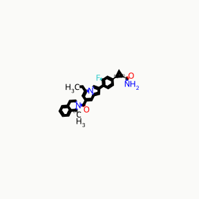 CCc1cc(C(=O)N2CCc3ccccc3[C@H]2C)cc2cc(-c3ccc([C@H]4C[C@@H]4C(N)=O)cc3F)cn12